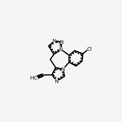 C#Cc1ncn2c1Cc1cnnn1-c1cc(Cl)ccc1-2